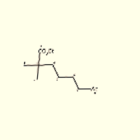 CCOC(=O)C(C)(C)CCCCC(C)=O